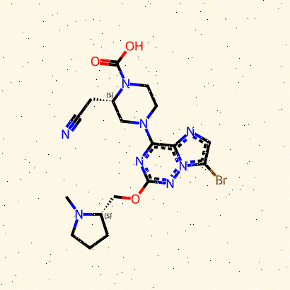 CN1CCC[C@H]1COc1nc(N2CCN(C(=O)O)[C@@H](CC#N)C2)c2ncc(Br)n2n1